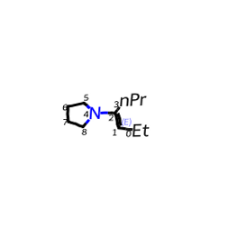 CC/C=C(\CCC)N1CCCC1